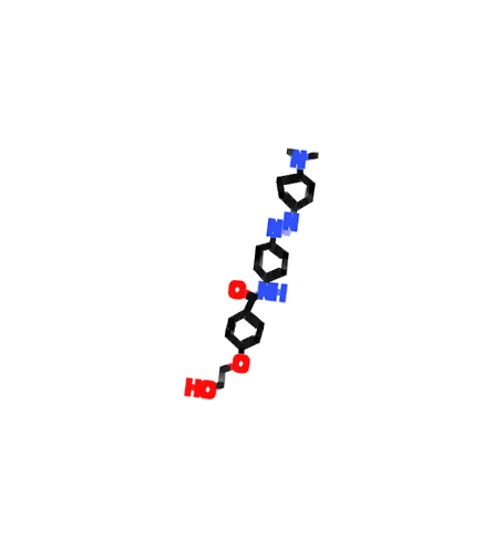 CN(C)c1ccc(/N=N/c2ccc(NC(=O)c3ccc(OCCO)cc3)cc2)cc1